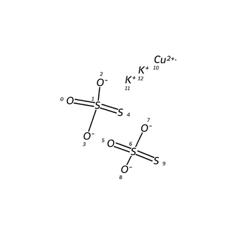 O=S([O-])([O-])=S.O=S([O-])([O-])=S.[Cu+2].[K+].[K+]